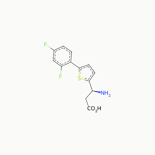 N[C@@H](CC(=O)O)c1ccc(-c2ccc(F)cc2F)s1